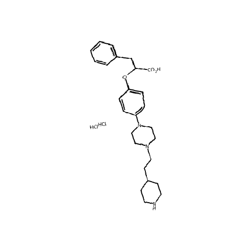 Cl.Cl.O=C(O)C(Cc1ccccc1)Oc1ccc(N2CCN(CCC3CCNCC3)CC2)cc1